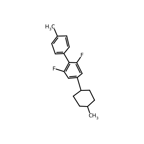 Cc1ccc(-c2c(F)cc(C3CCC(C)CC3)cc2F)cc1